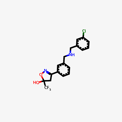 OC1(C(F)(F)F)CC(c2cccc(CNCc3cccc(Cl)c3)c2)=NO1